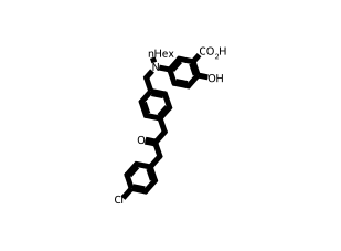 CCCCCCN(Cc1ccc(CC(=O)Cc2ccc(Cl)cc2)cc1)c1ccc(O)c(C(=O)O)c1